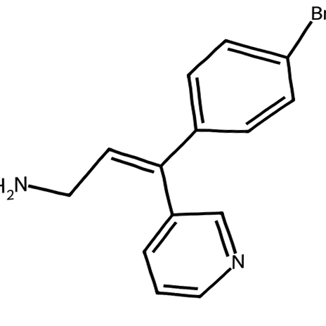 NC/C=C(/c1ccc(Br)cc1)c1cccnc1